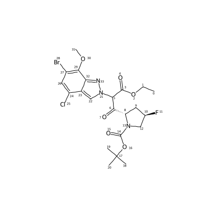 CCOC(=O)C(C(=O)[C@@H]1C[C@@H](F)CN1C(=O)OC(C)(C)C)n1cc2c(Cl)cc(Br)c(OC)c2n1